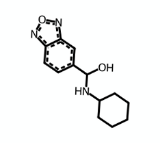 OC(NC1CCCCC1)c1ccc2nonc2c1